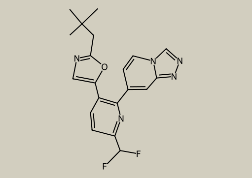 CC(C)(C)Cc1ncc(-c2ccc(C(F)F)nc2-c2ccn3cnnc3c2)o1